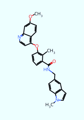 COc1ccc2c(Oc3cccc(C(=O)NCc4ccc5c(ccn5C)c4)c3C)ccnc2c1